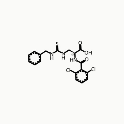 O=C(N[C@@H](CNC(=S)NCc1ccccc1)C(=O)O)c1c(Cl)cccc1Cl